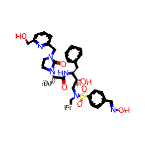 CC[C@H](C)[C@@H](C(=O)N[C@@H](Cc1ccccc1)[C@H](O)CN(CC(C)C)S(=O)(=O)c1ccc(C=NO)cc1)N1CCN(Cc2cccc(CO)n2)C1=O